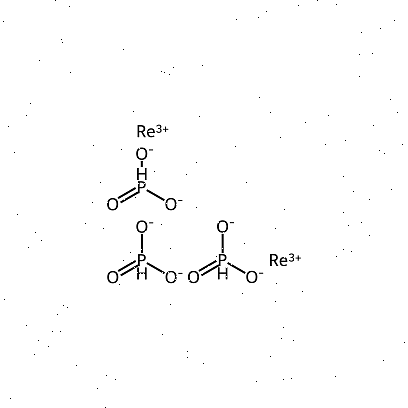 O=[PH]([O-])[O-].O=[PH]([O-])[O-].O=[PH]([O-])[O-].[Re+3].[Re+3]